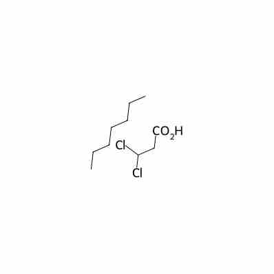 CCCCCCC.O=C(O)CC(Cl)Cl